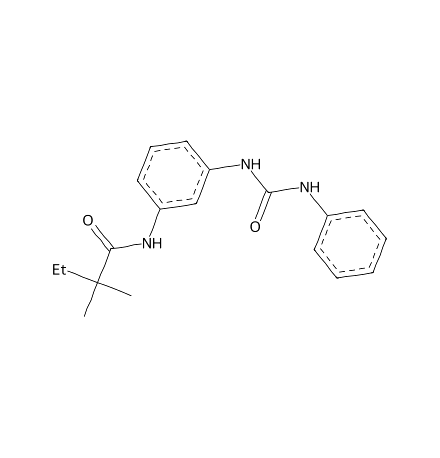 CCC(C)(C)C(=O)Nc1cccc(NC(=O)Nc2ccccc2)c1